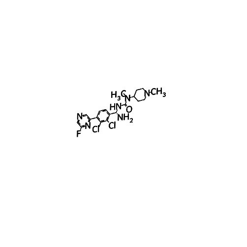 CN1CCC(N(C)C(=O)N[C@H](N)c2ccc(-c3cncc(F)n3)c(Cl)c2Cl)CC1